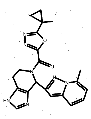 Cc1cccc2cc(C3c4nc[nH]c4CCN3C(=O)c3nnc(C4(C)CC4)o3)nn12